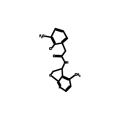 Cc1ccnc2c1C(NC(=O)Cc1cccc(C(F)(F)F)c1Cl)CO2